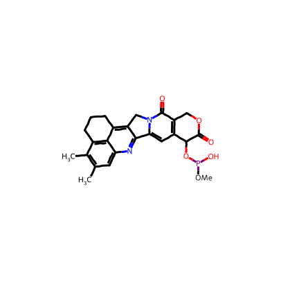 COP(O)OC1C(=O)OCc2c1cc1n(c2=O)Cc2c-1nc1cc(C)c(C)c3c1c2CCC3